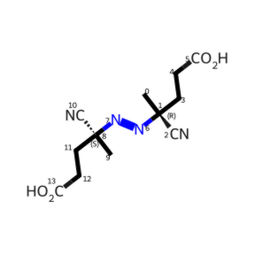 C[C@](C#N)(CCC(=O)O)N=N[C@](C)(C#N)CCC(=O)O